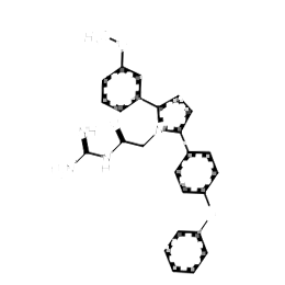 COc1cccc(-c2ccc(-c3ccc(Oc4ccccc4)cc3)n2CC(=O)NC(=N)N)c1